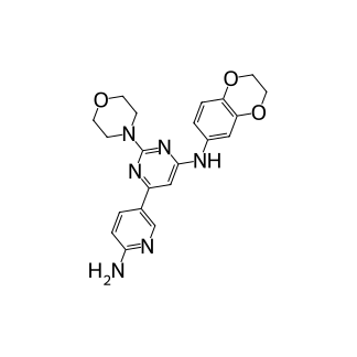 Nc1ccc(-c2cc(Nc3ccc4c(c3)OCCO4)nc(N3CCOCC3)n2)cn1